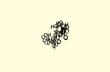 CC(=O)O[C@@]12CO[C@@H]1C[C@H](O)[C@@]1(C)C(=O)[C@H](O)C3[C@H](C)[C@@H](OC(=O)[C@H](OC(=O)c4sc(C(=O)O)c5c4OCCCO5)[C@@H](NC(=O)OC(C)(C)C)c4ccccc4)C[C@@](O)([C@@H](OC(=O)c4ccccc4)[C@H]21)C3(C)C